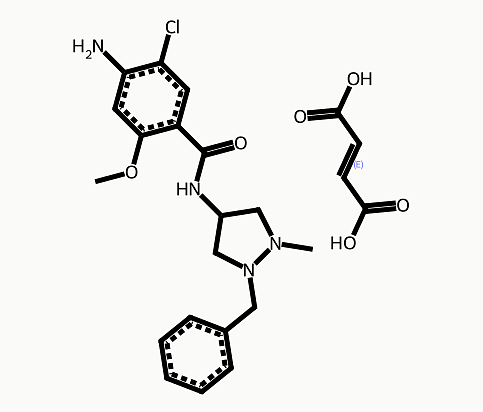 COc1cc(N)c(Cl)cc1C(=O)NC1CN(C)N(Cc2ccccc2)C1.O=C(O)/C=C/C(=O)O